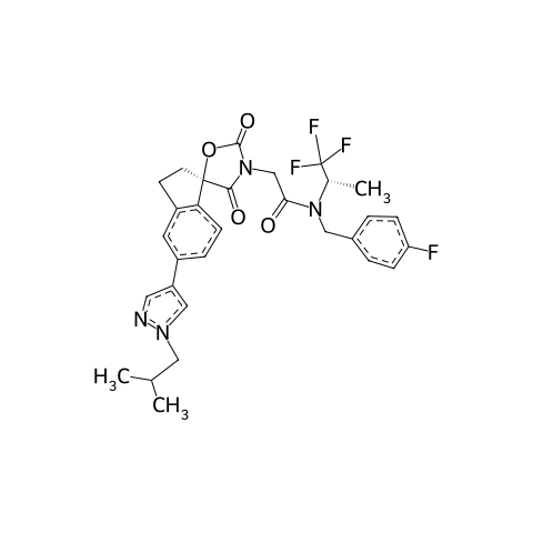 CC(C)Cn1cc(-c2ccc3c(c2)CC[C@@]32OC(=O)N(CC(=O)N(Cc3ccc(F)cc3)[C@@H](C)C(F)(F)F)C2=O)cn1